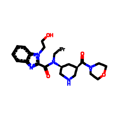 CC(C)CN(C(=O)c1nc2ccccc2n1CCO)[C@@H]1CNC[C@H](C(=O)N2CCOCC2)C1